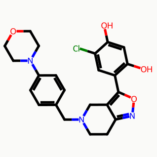 Oc1cc(O)c(-c2onc3c2CN(Cc2ccc(N4CCOCC4)cc2)CC3)cc1Cl